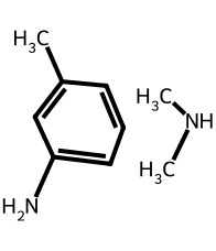 CNC.Cc1cccc(N)c1